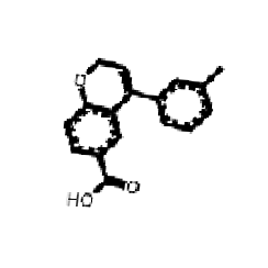 Cc1cccc(C2=CCOc3ccc(C(=O)O)cc32)c1